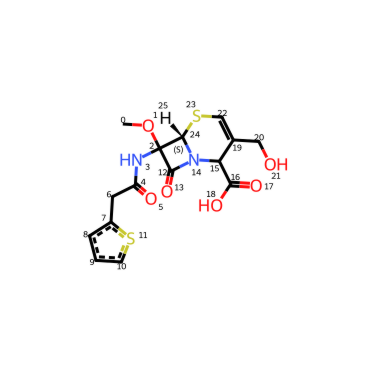 COC1(NC(=O)Cc2cccs2)C(=O)N2C(C(=O)O)C(CO)=CS[C@H]21